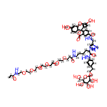 C=CC(=O)NCCOCCOCCOCCOCCOCCOCCC(=O)NCCCCC(C(=O)Nc1ccc(CCO[C@@H]2O[C@H](CO)[C@@H](O)[C@H](O)[C@H]2O)cc1)n1cc(CNC(=O)c2ccc3c(c2)C(=O)OC32c3ccc(O)cc3Oc3cc(O)ccc32)nn1